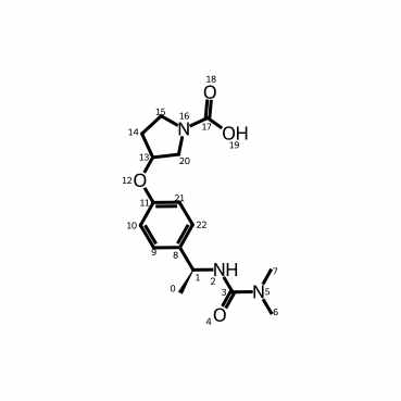 C[C@H](NC(=O)N(C)C)c1ccc(OC2CCN(C(=O)O)C2)cc1